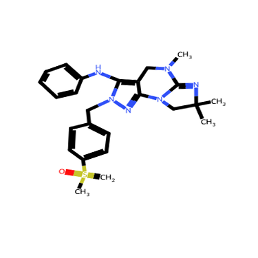 C=S(C)(=O)c1ccc(Cn2nc3c(c2Nc2ccccc2)CN(C)C2=NC(C)(C)CN23)cc1